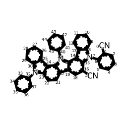 N#Cc1ccccc1-n1c2ccccc2c2c1c(C#N)cc1c3ccc4c(c5ccccc5n4-c4ccccc4)c3n(-c3ccccc3)c12